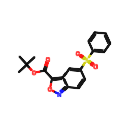 CC(C)(C)OC(=O)c1onc2ccc(S(=O)(=O)c3ccccc3)cc12